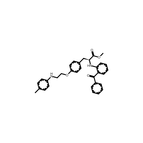 COC(=O)[C@H](Cc1ccc(OCCNc2ccc(C)cc2)cc1)Nc1ccccc1C(=O)c1ccccc1